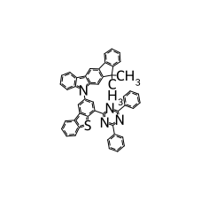 CC1(C)c2ccccc2-c2cc3c4ccccc4n(-c4cc(-c5nc(-c6ccccc6)nc(-c6ccccc6)n5)c5sc6ccccc6c5c4)c3cc21